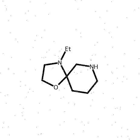 CCN1CCOC12CCCNC2